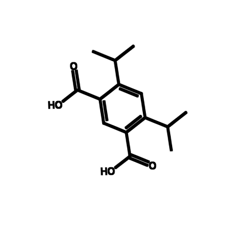 CC(C)c1cc(C(C)C)c(C(=O)O)cc1C(=O)O